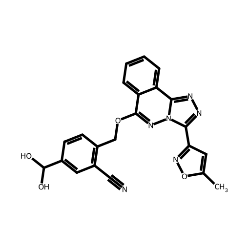 Cc1cc(-c2nnc3c4ccccc4c(OCc4ccc(C(O)O)cc4C#N)nn23)no1